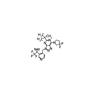 CC(C)(C)c1nc(N2CCC(F)(F)C2)c2nnn(Cc3ccncc3C3(C(F)(F)F)N=N3)c2n1